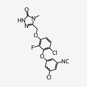 [C-]#[N+]c1cc(Cl)cc(Oc2c(Cl)ccc(OCc3n[nH]c(=O)n3C)c2F)c1